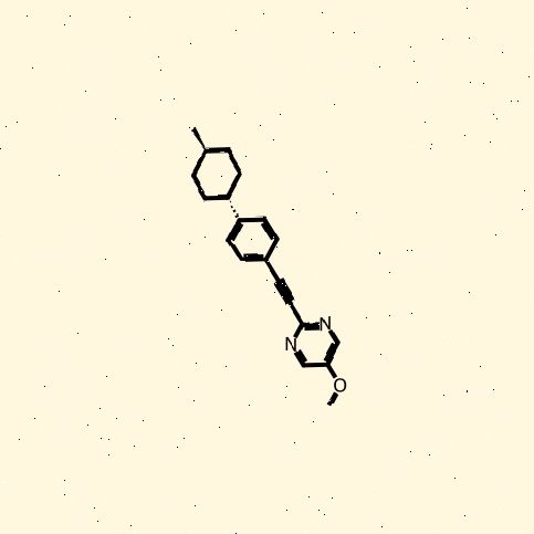 COc1cnc(C#Cc2ccc([C@H]3CC[C@H](C)CC3)cc2)nc1